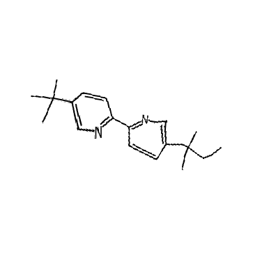 CCC(C)(C)c1ccc(-c2ccc(C(C)(C)C)cn2)nc1